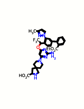 CCOC(=O)c1ccccc1-c1ccc(C(Oc2cc(N3CCC4(CC3)CNC(C(=O)O)C4)nc(N)n2)C(F)(F)F)c(-n2ccc(C)n2)c1